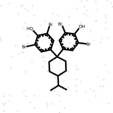 CC(C)C1CCC(c2cc(Br)c(O)c(Br)c2)(c2cc(Br)c(O)c(Br)c2)CC1